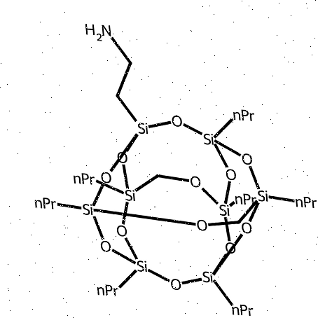 CCC[Si]12CO[Si]3(CCC)O[Si]4(CCC)O[Si]5(CCC)CO[Si](CCC)(O[Si](CCC)(O1)O4)O[Si](CCN)(O2)O[Si](CCC)(O5)O3